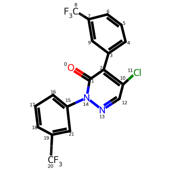 O=c1c(-c2cccc(C(F)(F)F)c2)c(Cl)cnn1-c1cccc(C(F)(F)F)c1